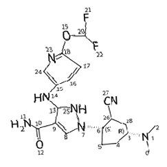 CN(C)[C@@H]1CC[C@H](N2C=C(C(N)=O)C(Nc3ccc(OC(F)F)nc3)N2)C(C#N)C1